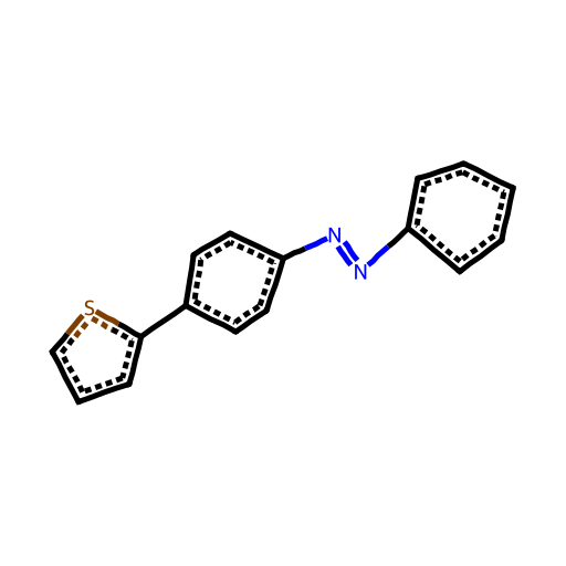 c1ccc(/N=N/c2ccc(-c3cccs3)cc2)cc1